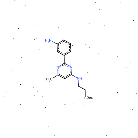 CCCCCCCCCCCCNc1cc(C)nc(-c2cccc(N)c2)n1